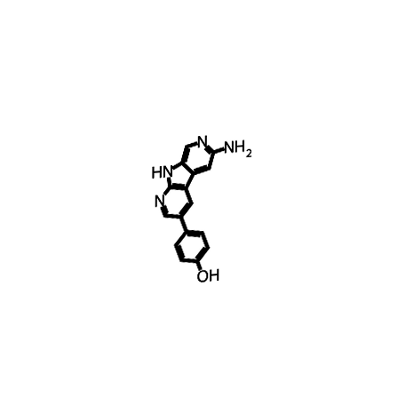 Nc1cc2c(cn1)[nH]c1ncc(-c3ccc(O)cc3)cc12